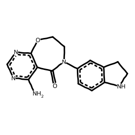 Nc1ncnc2c1C(=O)N(c1ccc3c(c1)CCN3)CCO2